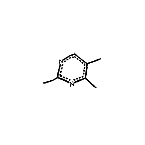 Cc1n[c]c(C)c(C)n1